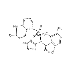 Cc1ccc(Cl)c([C@@H](C)[C@H](NS(=O)(=O)c2cccc3[nH]c(=O)ccc23)c2nn[nH]n2)c1C